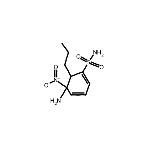 CCCC1C(S(N)(=O)=O)=CC=CC1(N)[N+](=O)[O-]